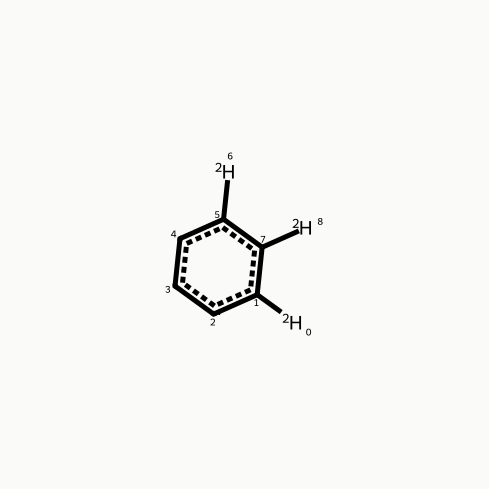 [2H]c1[c]ccc([2H])c1[2H]